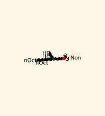 CCCCCCCCCOC(=O)CCCCCCCN([CH]CCCCCC[CH]C(CCCCCCCC)CCCCCCCC)CC(O)CO